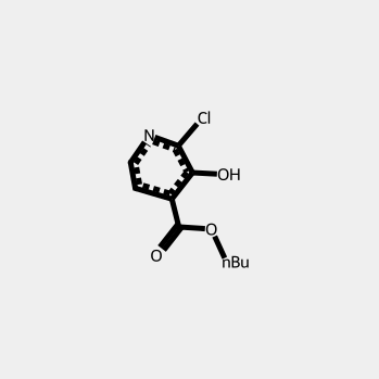 CCCCOC(=O)c1ccnc(Cl)c1O